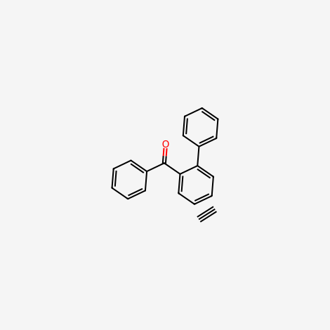 C#C.O=C(c1ccccc1)c1ccccc1-c1ccccc1